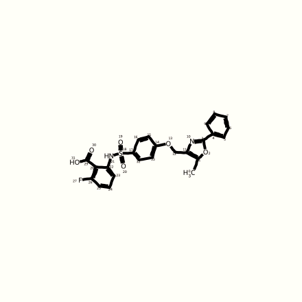 Cc1oc(-c2ccccc2)nc1COc1ccc(S(=O)(=O)Nc2cccc(F)c2C(=O)O)cc1